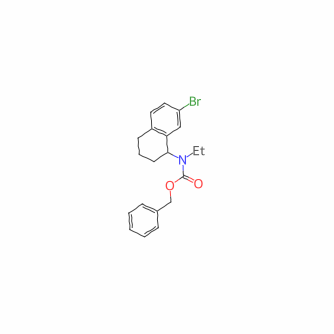 CCN(C(=O)OCc1ccccc1)C1CCCc2ccc(Br)cc21